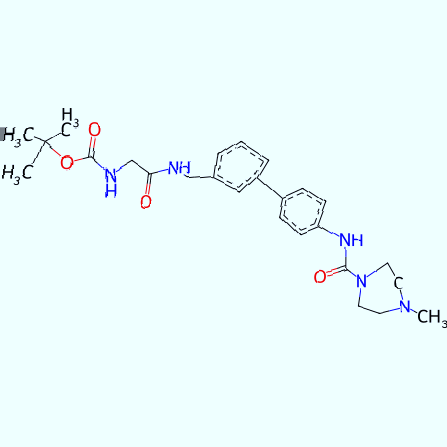 CN1CCN(C(=O)Nc2ccc(-c3cccc(CNC(=O)CNC(=O)OC(C)(C)C)c3)cc2)CC1